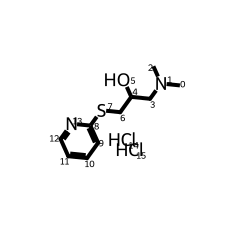 CN(C)CC(O)CSc1ccccn1.Cl.Cl